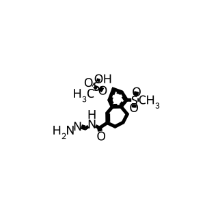 CS(=O)(=O)O.CS(=O)(=O)c1cccc2c1CCCC(C(=O)NC=NN)=C2